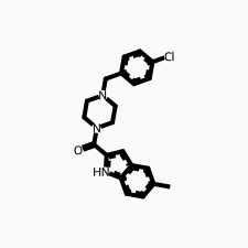 Cc1ccc2[nH]c(C(=O)N3CCN(Cc4ccc(Cl)cc4)CC3)cc2c1